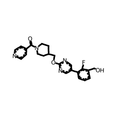 O=C(c1ccncc1)N1CCC(COc2ncc(-c3cccc(CO)c3F)cn2)CC1